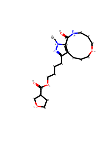 CCn1nc(CCCCOC(=O)C2CCOC2)c2c1C(=O)NCCCOCCC2